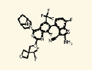 N#Cc1c(N)sc2c(F)ccc(-c3c(C(F)(F)F)cc4c(N5CC6CCC(C5)N6)nc(OCC5(C(F)F)COC5)nc4c3F)c12